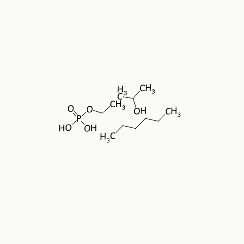 CC(C)O.CCCCCC.CCOP(=O)(O)O